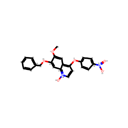 COc1cc2c(Oc3ccc([N+](=O)[O-])cc3)cc[n+]([O-])c2cc1OCc1ccccc1